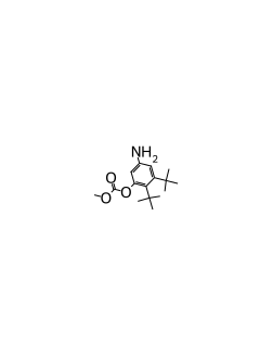 COC(=O)Oc1cc(N)cc(C(C)(C)C)c1C(C)(C)C